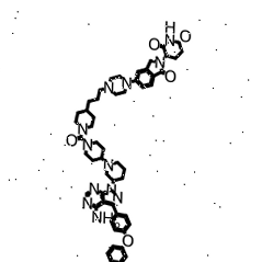 Nc1ncnc2c1c(-c1ccc(Oc3ccccc3)cc1)nn2C1CCCN(C2CCN(C(=O)N3CCC(CCCN4CCN(c5ccc6c(c5)CN(C5CCC(=O)NC5=O)C6=O)CC4)CC3)CC2)C1